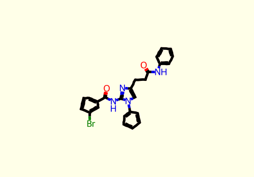 O=C(CCc1cn(-c2ccccc2)c(NC(=O)c2cccc(Br)c2)n1)Nc1ccccc1